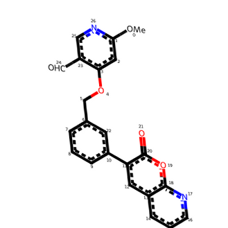 COc1cc(OCc2cccc(-c3cc4cccnc4oc3=O)c2)c(C=O)cn1